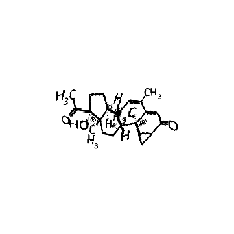 CC(=O)[C@@]1(O)CC[C@H]2[C@@H]3C=C(C)C4=CC(=O)C5CC5[C@@]4(C)[C@@H]3CC[C@@]21C